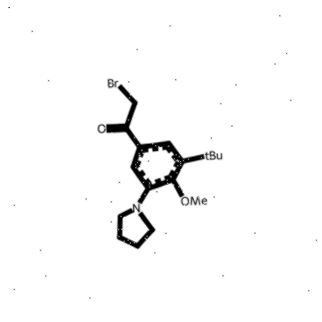 COc1c(N2CCCC2)cc(C(=O)CBr)cc1C(C)(C)C